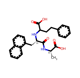 C[C@H](NC(=O)[C@H](Cc1cccc2ccccc12)NC(CCc1ccccc1)C(=O)O)C(=O)O